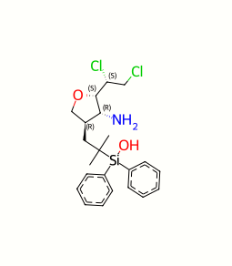 CC(C)(C[C@H]1CO[C@H]([C@H](Cl)CCl)[C@@H]1N)[Si](O)(c1ccccc1)c1ccccc1